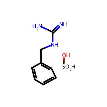 N=C(N)NCc1ccccc1.O=S(=O)(O)O